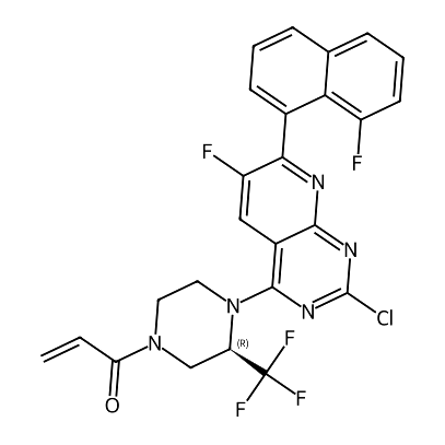 C=CC(=O)N1CCN(c2nc(Cl)nc3nc(-c4cccc5cccc(F)c45)c(F)cc23)[C@@H](C(F)(F)F)C1